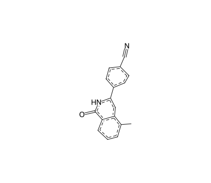 Cc1cccc2c(=O)[nH]c(-c3ccc(C#N)cc3)cc12